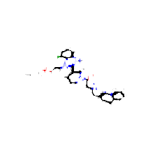 COCCCn1c(C2CCCN(C(=O)CC(N)Cc3ccc4ccccc4c3)C2)nc2cccc(Cl)c21